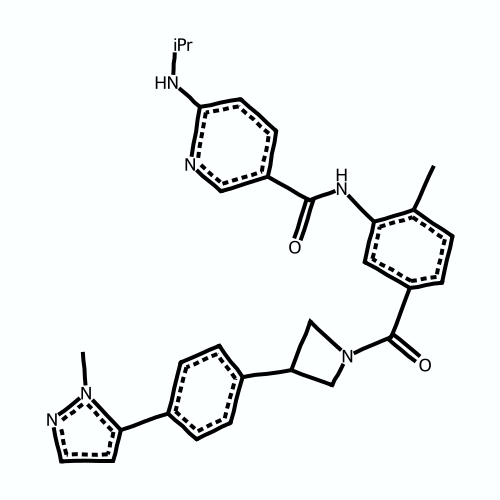 Cc1ccc(C(=O)N2CC(c3ccc(-c4ccnn4C)cc3)C2)cc1NC(=O)c1ccc(NC(C)C)nc1